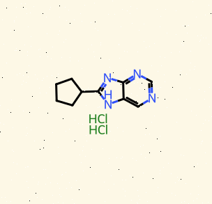 Cl.Cl.c1ncc2[nH]c(C3CCCC3)nc2n1